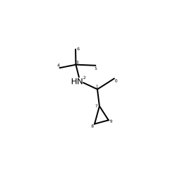 CC(NC(C)(C)C)C1CC1